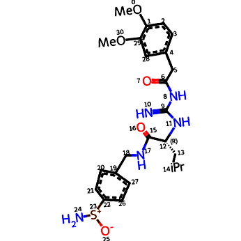 COc1ccc(CC(=O)NC(=N)N[C@H](CC(C)C)C(=O)NCc2ccc([S+](N)[O-])cc2)cc1OC